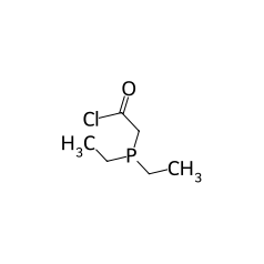 CCP(CC)CC(=O)Cl